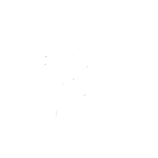 Cc1ccc(CCc2ccc(C)cc2Cc2cc(C)c(F)c(F)c2C)c(C)c1